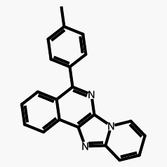 Cc1ccc(-c2nc3c(nc4ccccn43)c3ccccc23)cc1